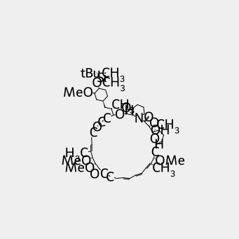 CO[C@H]1C[C@@H]2CC[C@@H](C)[C@@](O)(O2)C(=O)C(=O)N2CCCC[C@H]2C(=O)O[C@H]([C@H](C)C[C@@H]2CCC(O[Si](C)(C)C(C)(C)C)[C@H](OC)C2)CCOCC/C=C(\C)[C@@H](OC)[C@@H](OC)C(=O)CCC/C=C/C=C/C=C/1C